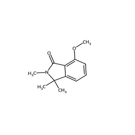 COc1cccc2c1C(=O)N(C)C2(C)C